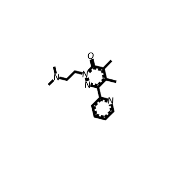 Cc1c(-c2ccccn2)nn(CCN(C)C)c(=O)c1C